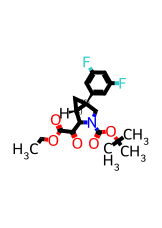 CCOC(=O)C(=O)C1[C@@H]2C[C@]2(c2cc(F)cc(F)c2)CN1C(=O)OC(C)(C)C